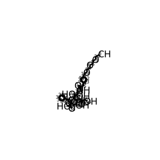 C#CCOCCOCCOCc1ccc(CC(=O)NC[C@@H](O)[C@@H](O)[C@@H]2O[C@@](OCc3ccccc3)(C(=O)O)C[C@H](O)[C@H]2NC(=O)CO)cc1